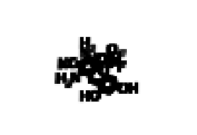 N#Cc1c(N)nc2c(c1N)Cc1c(O)cc(O)cc1O2.O=C(O)C(F)(F)F